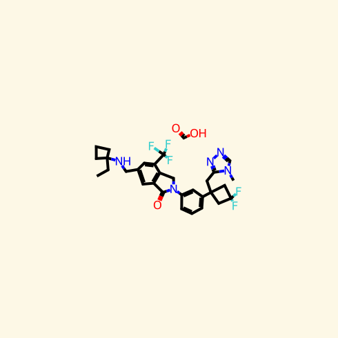 CCC1(NCc2cc3c(c(C(F)(F)F)c2)CN(c2cccc(C4(Cc5nncn5C)CC(F)(F)C4)c2)C3=O)CCC1.O=CO